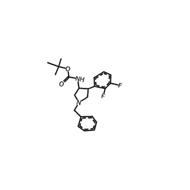 CC(C)(C)OC(=O)NC1CN(Cc2ccccc2)CC1c1cccc(F)c1F